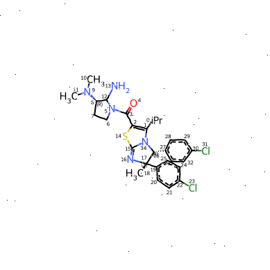 CC(C)C1=C(C(=O)N2CC[C@@H](N(C)C)C2N)SC2=N[C@@](C)(c3ccc(Cl)cc3)[C@@H](c3ccc(Cl)cc3)N21